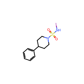 O=S(=O)(NI)N1CCC(c2ccccc2)CC1